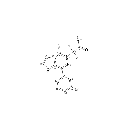 CC(C)(C(=O)O)n1nc(-c2cccc(Cl)c2)c2occc2c1=O